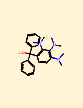 CN(C)c1ccc(C(O)(c2ccccc2)c2ccccc2)c(N(C)C)c1N(C)C